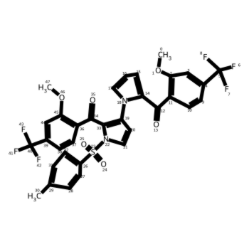 COc1cc(C(F)(F)F)ccc1C(=O)c1cccn1-c1ccn(S(=O)(=O)c2ccc(C)cc2)c1C(=O)c1ccc(C(F)(F)F)cc1OC